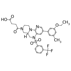 CCOc1cc(C)cc(-c2cnc3c(c2)N(S(=O)(=O)c2cccc(C(F)(F)F)c2)C[C@@H]2CN(C(=O)CCC(=O)O)CCN32)c1